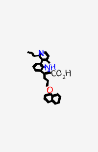 CC=Cc1nccc(C)c1-c1cccc2c(CCCOc3cccc4ccccc34)c(C(=O)O)[nH]c12